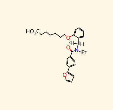 [2H]C([2H])(c1ccccc1OCCCCCCC(=O)O)N(C(=O)c1ccc(-c2ccco2)cc1)C(C)C